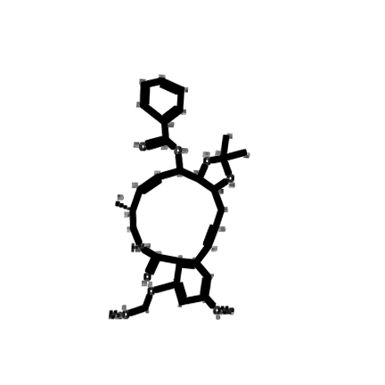 COCOc1cc(OC)cc2c1C(=O)NC[C@H](C)/C=C\C(OC(=O)c1ccccc1)C1OC(C)(C)OC1C/C=C/2